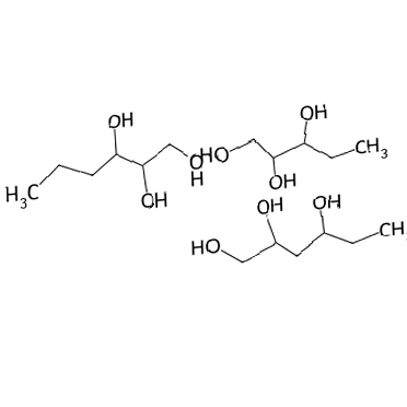 CCC(O)C(O)CO.CCC(O)CC(O)CO.CCCC(O)C(O)CO